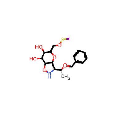 C[C@@H](OCc1ccccc1)[C@H]1NOC2C(O)C(O)C(COSI)OC21